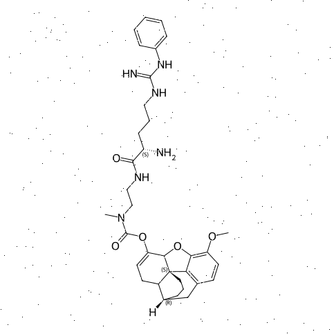 COc1ccc2c3c1OC1C(OC(=O)N(C)CCNC(=O)[C@@H](N)CCCNC(=N)Nc4ccccc4)=CCC4[C@H](CCC[C@]314)C2